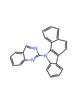 c1ccc2nc(-n3c4ccccc4c4ccc5ccccc5c43)ncc2c1